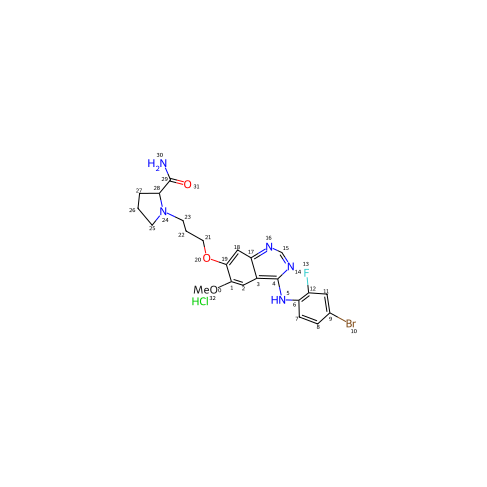 COc1cc2c(Nc3ccc(Br)cc3F)ncnc2cc1OCCCN1CCCC1C(N)=O.Cl